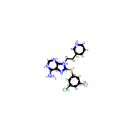 Nc1ncnc2c1nc(Sc1cc(Cl)cc(Cl)c1)n2CCc1cccnc1